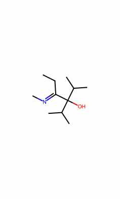 CCC(=NC)C(O)(C(C)C)C(C)C